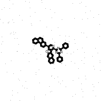 c1ccc(-c2nc(-c3ccccc3)nc(-c3ncc(-c4ccc5c(ccc6ccccc65)c4)c4oc5cc6ccccc6cc5c34)n2)cc1